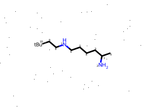 CC(N)CCCCNCCC(C)(C)C